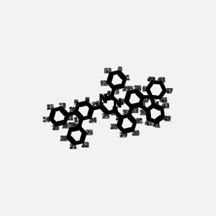 c1ccc(-c2nc(-c3ccc(-c4ccccc4)c(-c4ccccc4)c3)cc(-c3ccccc3-c3cccc4c3-c3ccccc3C43CCCCC3)n2)cc1